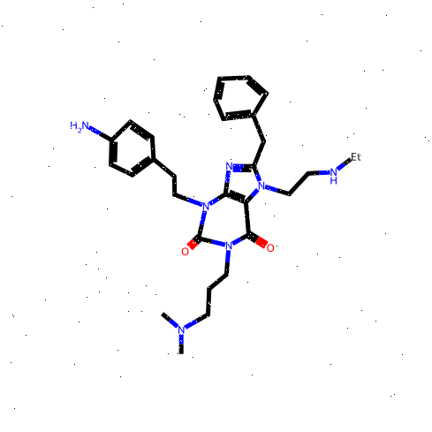 CCNCCn1c(Cc2ccccc2)nc2c1c(=O)n(CCCN(C)C)c(=O)n2CCc1ccc(N)cc1